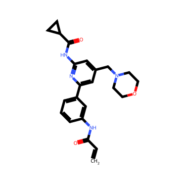 C=CC(=O)Nc1cccc(-c2cc(CN3CCOCC3)cc(NC(=O)C3CC3)n2)c1